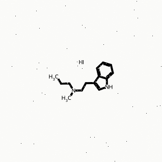 CCCN(C)CCc1c[nH]c2ccccc12.I